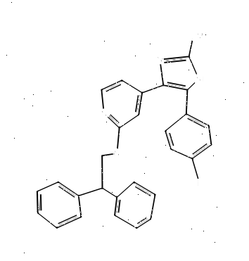 CSc1nc(-c2ccnc(NCC(c3ccccc3)c3ccccc3)c2)c(-c2ccc(F)cc2)[nH]1